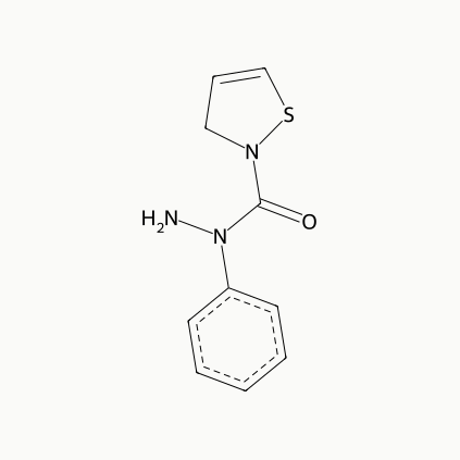 NN(C(=O)N1CC=CS1)c1ccccc1